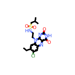 CCc1cc2c(cc1Cl)nc1c(=O)[nH]c(=O)nc-1n2CCNS(=O)(=O)CC(C)C